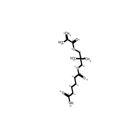 C=C(C)C(=O)OCC(C)(C)COC(=O)CCCCC(=O)O